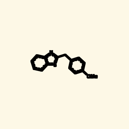 COc1ccc(Cc2nc3ccccc3s2)cc1